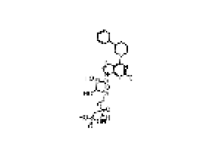 O=P(O)(O)CP(=O)(O)OC[C@H]1O[C@@H](n2cnc3c(N4CCCC(c5ccccc5)C4)nc(Cl)nc32)[C@@H](O)C1O